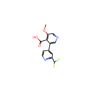 COc1cncc(-c2ccnc(C(F)F)c2)c1C(=O)O